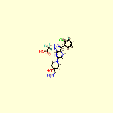 NCC1(O)CCN(c2cnc3c(-c4cccc(F)c4Cl)n[nH]c3n2)CC1.O=C(O)C(F)(F)F